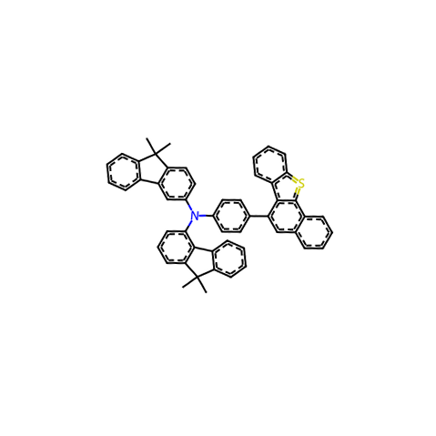 CC1(C)c2ccccc2-c2cc(N(c3ccc(-c4cc5ccccc5c5sc6ccccc6c45)cc3)c3cccc4c3-c3ccccc3C4(C)C)ccc21